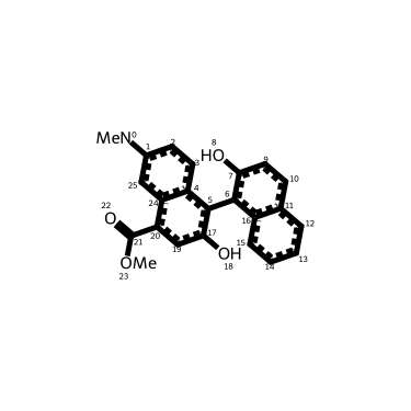 CNc1ccc2c(-c3c(O)ccc4ccccc34)c(O)cc(C(=O)OC)c2c1